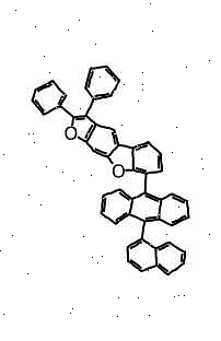 c1ccc(-c2oc3cc4oc5c(-c6c7ccccc7c(-c7cccc8ccccc78)c7ccccc67)cccc5c4cc3c2-c2ccccc2)cc1